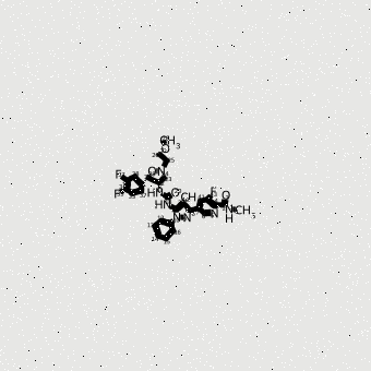 CNC(=O)c1ncc(-c2nn(-c3ccccc3)c(NC(=O)N[C@@H]3CN(CCOC)O[C@H]3c3ccc(F)c(F)c3)c2C)cc1F